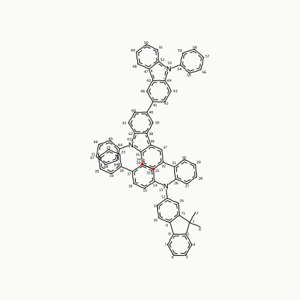 CC1(C)c2ccccc2-c2ccc(N(c3ccc(-c4ccccc4)cc3)c3ccccc3-c3ccc4c(c3)c3cc(-c5ccc6c(c5)c5ccccc5n6-c5ccccc5)ccc3n4-c3ccccc3)cc21